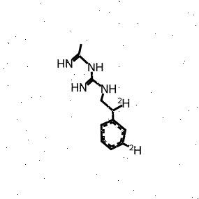 [2H]c1cccc(C([2H])CNC(=N)NC(C)=N)c1